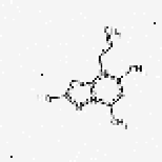 C=CC[n+]1c(C)cc(C)n2nc(O)cc21